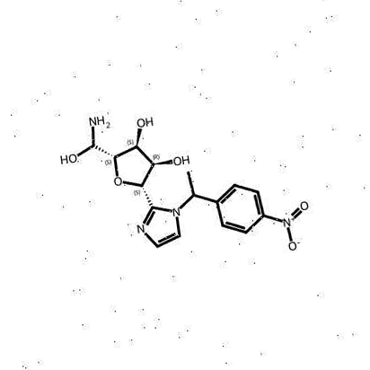 [CH2]C(c1ccc([N+](=O)[O-])cc1)n1ccnc1[C@@H]1O[C@H](C(N)O)[C@@H](O)[C@H]1O